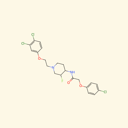 O=C(COc1ccc(Cl)cc1)NC1CCN(CCOc2ccc(Cl)c(Cl)c2)CC1F